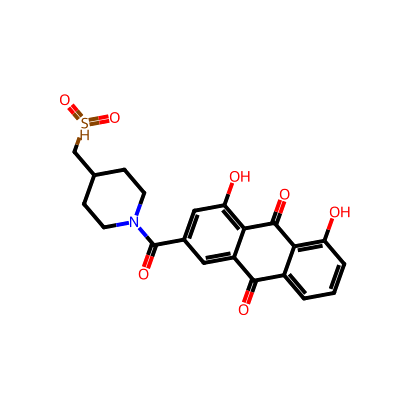 O=C1c2cccc(O)c2C(=O)c2c(O)cc(C(=O)N3CCC(C[SH](=O)=O)CC3)cc21